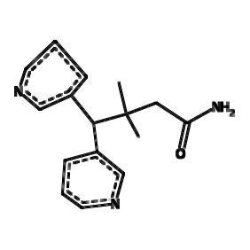 CC(C)(CC(N)=O)C(c1cccnc1)c1cccnc1